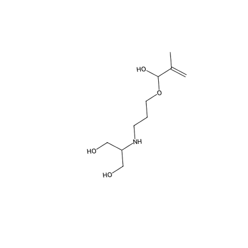 C=C(C)C(O)OCCCNC(CO)CO